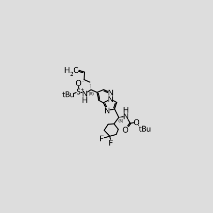 C=CCC[C@@H](N[S+]([O-])C(C)(C)C)c1cnn2cc([C@@H](NC(=O)OC(C)(C)C)C3CCC(F)(F)CC3)nc2c1